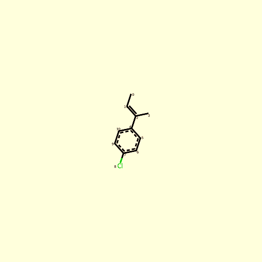 C[C]=C(C)c1ccc(Cl)cc1